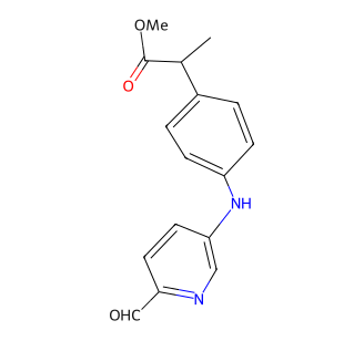 COC(=O)C(C)c1ccc(Nc2ccc(C=O)nc2)cc1